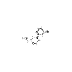 OC[C@@H]1CN(c2cc(Br)ccn2)CCO1